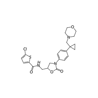 O=C(NCC1CN(c2ccc(C3(CN4CCOCC4)CC3)cc2)C(=O)O1)c1ccc(Cl)s1